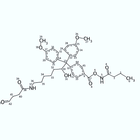 CCCC(=O)NOC(=O)c1ccc(C(c2ccc(OC)cc2)(c2ccc(OC)cc2)C(O)CCCCCNC(=O)CCC=O)cc1